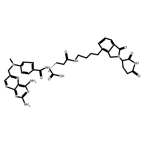 CN(Cc1cnc2nc(N)nc(N)c2n1)c1ccc(C(=O)N[C@H](CCC(=O)NCCCCc2cccc3c2CN(C2CCC(=O)NC2=O)C3=O)C(=O)O)cc1